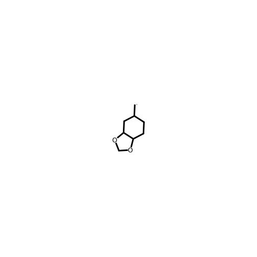 [CH2]C1CCC2OCOC2C1